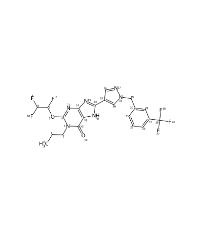 CCCn1c(OC(F)C(F)F)nc2nc(-c3cnn(Cc4cccc(C(F)(F)F)c4)c3)[nH]c2c1=O